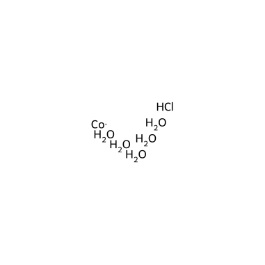 Cl.O.O.O.O.O.[Co]